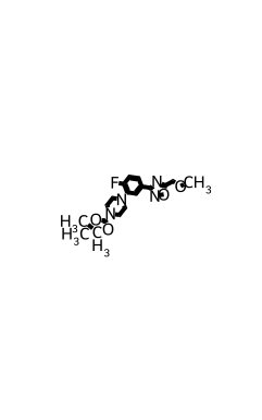 COCc1nc(-c2ccc(F)c(N3CCN(C(=O)OC(C)(C)C)CC3)c2)no1